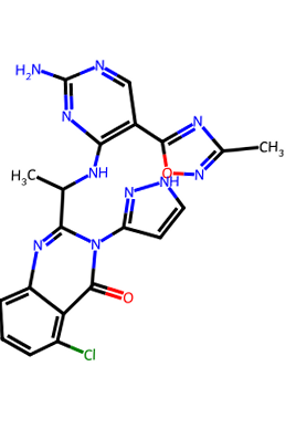 Cc1noc(-c2cnc(N)nc2NC(C)c2nc3cccc(Cl)c3c(=O)n2-c2cc[nH]n2)n1